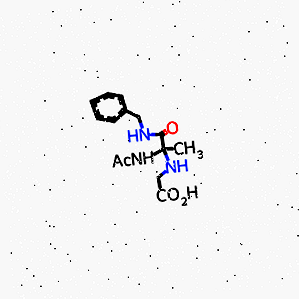 CC(=O)NC(C)(NCC(=O)O)C(=O)NCc1ccccc1